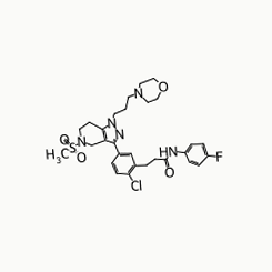 CS(=O)(=O)N1CCc2c(c(-c3ccc(Cl)c(CCC(=O)Nc4ccc(F)cc4)c3)nn2CCCN2CCOCC2)C1